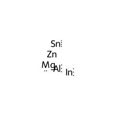 [Al].[In].[Mg].[Sn].[Zn]